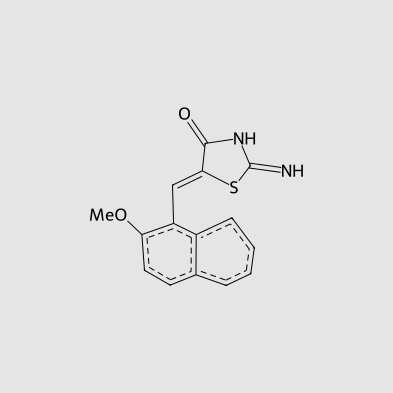 COc1ccc2ccccc2c1C=C1SC(=N)NC1=O